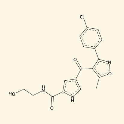 Cc1onc(-c2ccc(Cl)cc2)c1C(=O)c1c[nH]c(C(=O)NCCO)c1